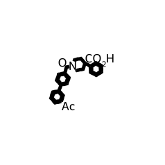 CC(=O)c1cccc(-c2ccc(C(=O)N3CCC(C(=O)O)(c4ccccc4)CC3)cc2)c1